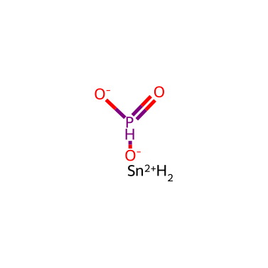 O=[PH]([O-])[O-].[SnH2+2]